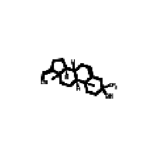 C[C@]12CC[C@](O)(C(F)(F)F)CC1=CC[C@@H]1[C@@H]2CC[C@]2(C)/C(=C\C#N)CC[C@@H]12